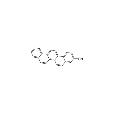 N#Cc1ccc2c(ccc3c2ccc2c4ccccc4ccc23)c1